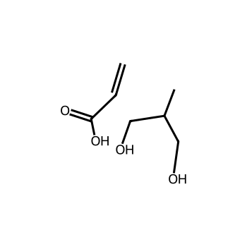 C=CC(=O)O.CC(CO)CO